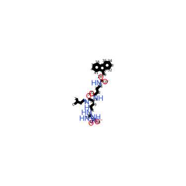 CC(C)CCNC(=O)[C@H](CCCNC(=N)N[N+](=O)[O-])NC(=O)CCCNC(=O)OCC1c2ccccc2-c2ccccc21